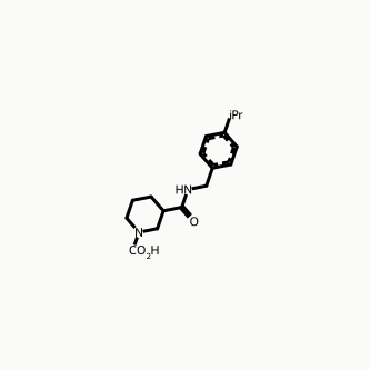 CC(C)c1ccc(CNC(=O)C2CCCN(C(=O)O)C2)cc1